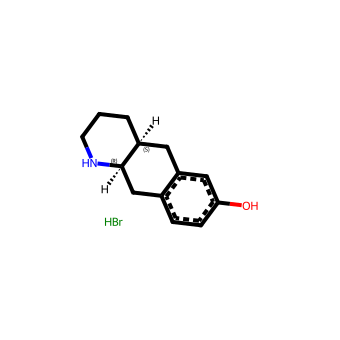 Br.Oc1ccc2c(c1)C[C@@H]1CCCN[C@@H]1C2